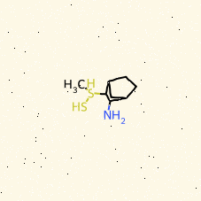 C[SH](S)C1C2CCC(C2)C1N